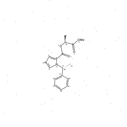 COC(=O)[C@H](C)OC(=O)c1cncn1[C@H](C)c1ccccc1